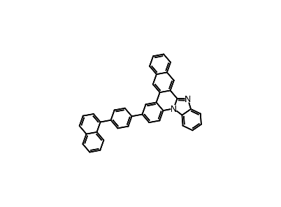 c1ccc2cc3c(cc2c1)c1cc(-c2ccc(-c4cccc5ccccc45)cc2)ccc1n1c2ccccc2nc31